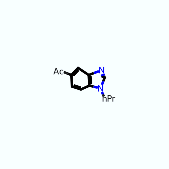 CCCn1cnc2cc(C(C)=O)ccc21